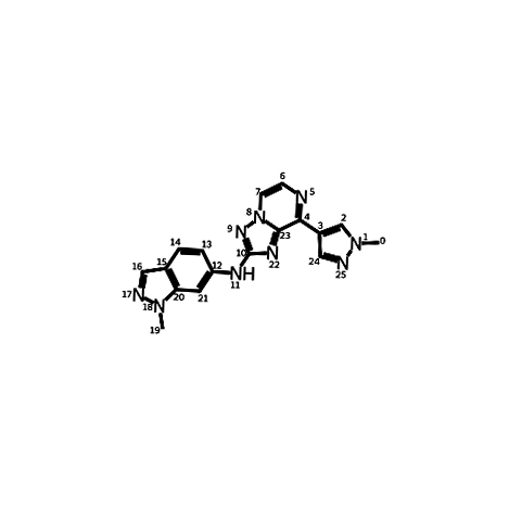 Cn1cc(-c2nccn3nc(Nc4ccc5cnn(C)c5c4)nc23)cn1